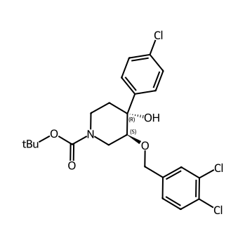 CC(C)(C)OC(=O)N1CC[C@@](O)(c2ccc(Cl)cc2)[C@@H](OCc2ccc(Cl)c(Cl)c2)C1